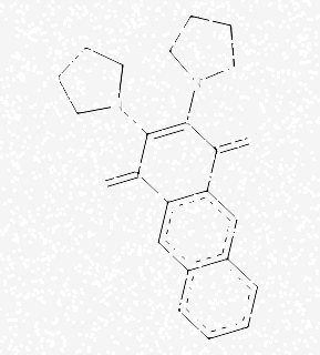 O=C1C(N2CCCC2)=C(N2CCCC2)C(=O)c2cc3ccccc3cc21